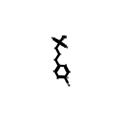 O=S(=O)(O)CCCc1ccc(I)cc1